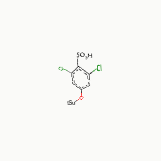 CC(C)(C)Oc1cc(Cl)c(S(=O)(=O)O)c(Cl)c1